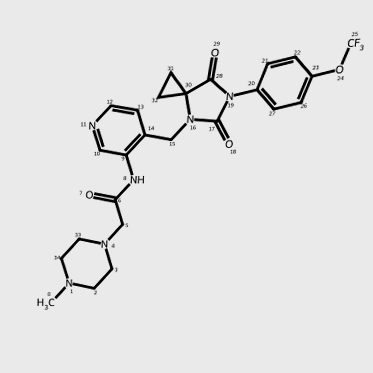 CN1CCN(CC(=O)Nc2cnccc2CN2C(=O)N(c3ccc(OC(F)(F)F)cc3)C(=O)C23CC3)CC1